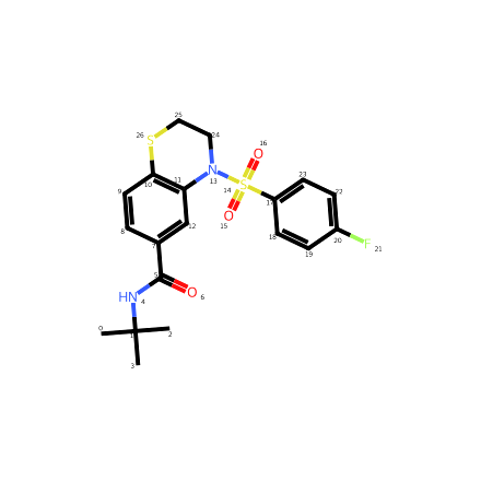 CC(C)(C)NC(=O)c1ccc2c(c1)N(S(=O)(=O)c1ccc(F)cc1)CCS2